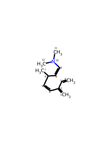 C=CC(=C)/C=C\C(C)/C=C\N(C)C